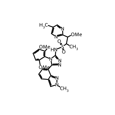 COc1cccc(OC)c1-n1c(NS(=O)(=O)C(C)C(OC)c2ncc(C)cn2)nnc1-c1cccc2cn(C)nc12